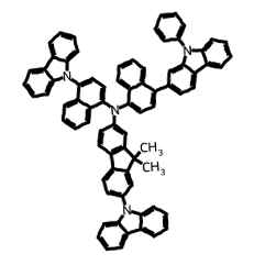 CC1(C)c2cc(N(c3ccc(-c4ccc5c6ccccc6n(-c6ccccc6)c5c4)c4ccccc34)c3ccc(-n4c5ccccc5c5ccccc54)c4ccccc34)ccc2-c2ccc(-n3c4ccccc4c4ccccc43)cc21